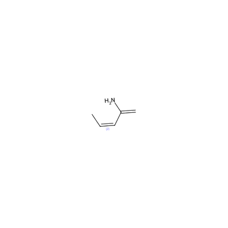 C=C(N)/C=C\C